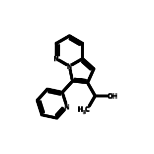 CC(O)c1cc2cccnn2c1-c1ccccn1